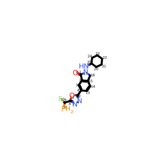 O=C1c2cc(-c3nnc(C(F)P)o3)ccc2CN1NC1CCCCC1